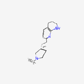 O=C(O)N1CC[C@@H](CCc2ccc3c(n2)NCCC3)C1